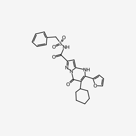 O=C(NS(=O)(=O)Cc1ccccc1)c1cc2[nH]c(-c3ccco3)c(C3CCCCC3)c(=O)n2n1